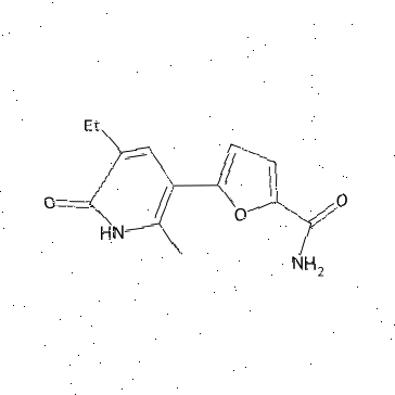 CCc1cc(-c2ccc(C(N)=O)o2)c(C)[nH]c1=O